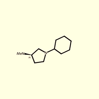 CN[C@@H]1CCN(C2CCCCC2)C1